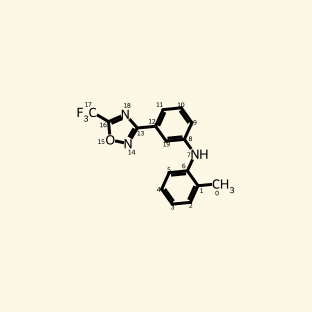 Cc1ccccc1Nc1[c]ccc(-c2noc(C(F)(F)F)n2)c1